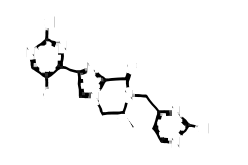 C[C@H]1Cn2cc(-c3nc(Cl)ncc3Cl)nc2C(=O)N1Cc1ccnc(C(F)(F)F)n1